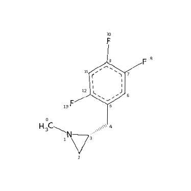 CN1C[C@H]1Cc1cc(F)c(F)cc1F